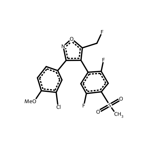 COc1ccc(-c2noc(CF)c2-c2cc(F)c(S(C)(=O)=O)cc2F)cc1Cl